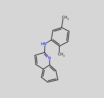 Cc1ccc(C)c(Nc2ccc3ccccc3n2)c1